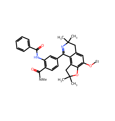 CCOc1cc2c(c3c1OC(C)(C)C3)C(c1ccc(C(=O)NC)c(NC(=O)c3ccccc3)c1)=NC(C)(C)C2